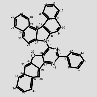 c1ccc(-c2nc(-n3c4ccc5ccccc5c4c4c5ccccc5ccc43)c3oc4cc5ccccc5cc4c3n2)cc1